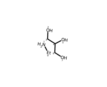 CCN.OCC(O)CO